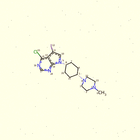 CN1CCN([C@H]2CC[C@@H](n3cc(I)c4c(Cl)ncnc43)CC2)CC1